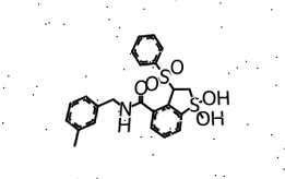 Cc1cccc(CNC(=O)c2cccc3c2C(S(=O)(=O)c2ccccc2)CS3(O)O)c1